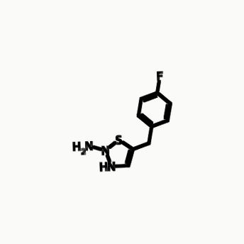 NN1NC=C(Cc2ccc(F)cc2)S1